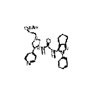 COCCN1C[C@H](NC(=O)Nc2c3c(nn2-c2ccccc2)CCC3)[C@@H](c2ccncc2)C1